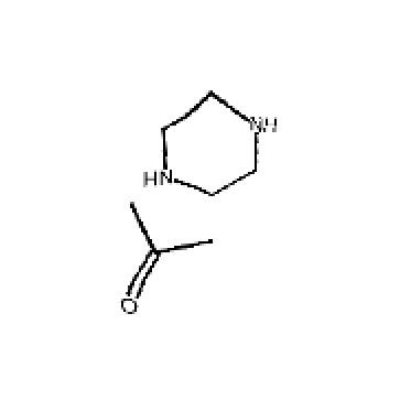 C1CNCCN1.CC(C)=O